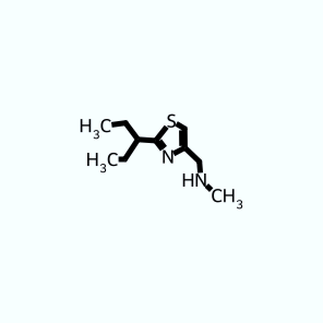 CCC(CC)c1nc(CNC)cs1